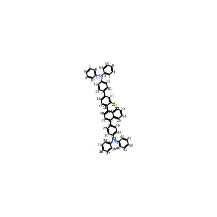 c1ccc(N(c2ccccc2)c2ccc(-c3ccc4c(c3)Sc3cccc5c(-c6ccc(N(c7ccccc7)c7ccccc7)cc6)ccc-4c35)cc2)cc1